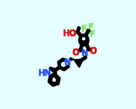 CC(O)C1C2CC(C3C(=O)N(CC4C[C@@H]4CN4CCC(c5c[nH]c6ccccc56)CC4)C(=O)C23)C1C(F)(F)F